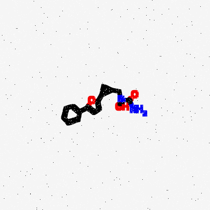 NC(=O)N(O)CC1CC1c1ccc(-c2ccccc2)o1